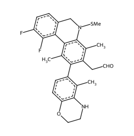 CSN1Cc2ccc(F)c(F)c2-c2c(C)c(-c3ccc4c(c3C)NCCO4)c(CC=O)c(C)c21